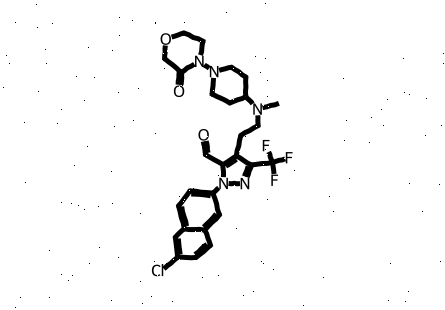 CN(CCc1c(C(F)(F)F)nn(-c2ccc3cc(Cl)ccc3c2)c1C=O)C1CCN(N2CCOCC2=O)CC1